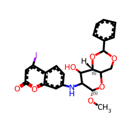 CO[C@H]1OC2COC(c3ccccc3)O[C@H]2C(O)C1Nc1ccc2c(I)cc(=O)oc2c1